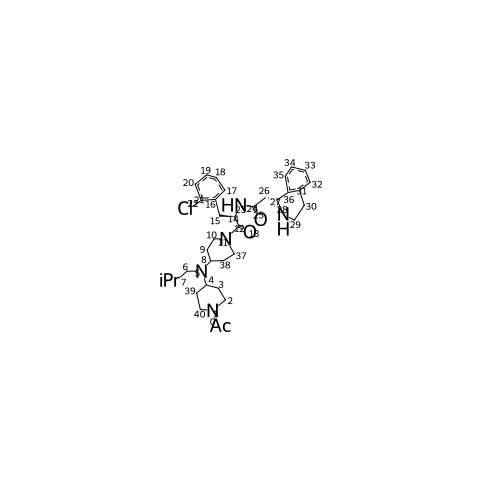 CC(=O)N1CCC(N(CC(C)C)C2CCN(C(=O)[C@@H](Cc3ccccc3Cl)NC(=O)C[C@H]3NCCc4ccccc43)CC2)CC1